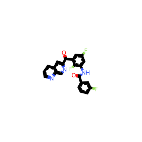 O=C(Nc1cc(F)cc(C(=O)c2cc3cccnc3cn2)c1F)c1cccc(F)c1